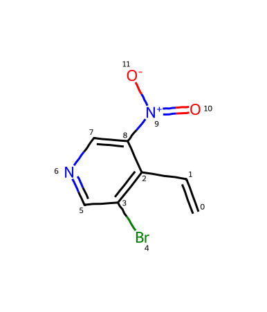 C=Cc1c(Br)cncc1[N+](=O)[O-]